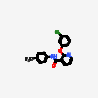 O=C(Nc1ccc(C(F)(F)F)cc1)c1cccnc1Oc1cccc(Cl)c1